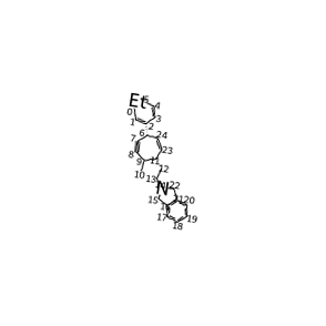 C/C=C(\C=C/CC)[C@H]1C#CC(C)[C@@H](CCN2Cc3ccccc3C2)C=C1